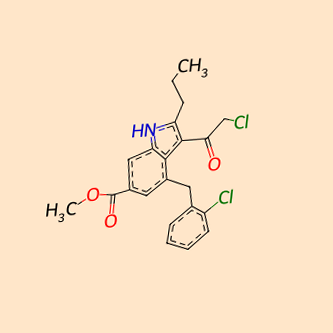 CCCc1[nH]c2cc(C(=O)OC)cc(Cc3ccccc3Cl)c2c1C(=O)CCl